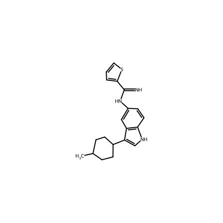 CC1CCC(c2c[nH]c3ccc(NC(=N)c4cccs4)cc23)CC1